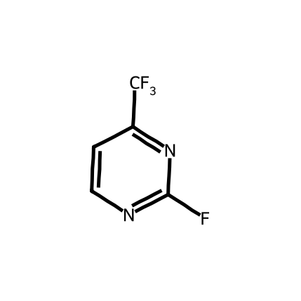 Fc1nccc(C(F)(F)F)n1